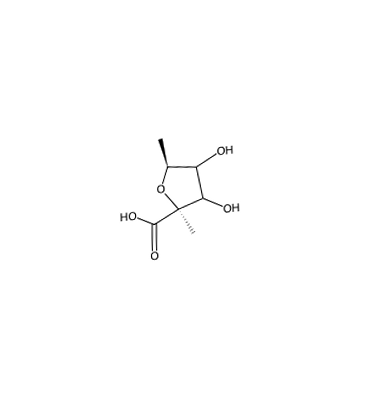 C[C@@H]1O[C@](C)(C(=O)O)C(O)C1O